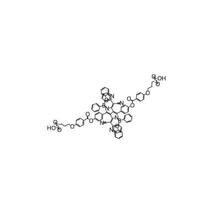 N#C/C(c1nc2ccccc2o1)=c1\c2c(-c3ccc(OC(=O)c4ccc(OCCCS(=O)(=O)O)cc4)cc3)n(B(c3ccccc3)c3ccccc3)/c(=C(/C#N)c3nc4ccccc4o3)c2c(-c2ccc(OC(=O)c3ccc(OCCCS(=O)(=O)O)cc3)cc2)n1B(c1ccccc1)c1ccccc1